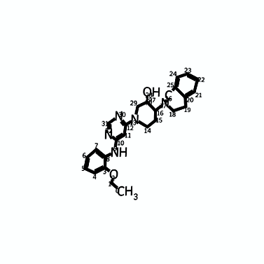 CCOc1ccccc1Nc1cc(N2CCC(N3CCc4ccccc4C3)[C@H](O)C2)ncn1